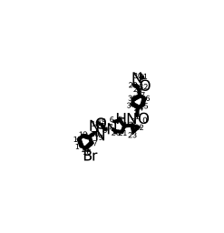 O=C(NC1(C2CCN(c3nc(-c4cccc(Br)c4)no3)CC2)CC1)c1ccc(-c2cnco2)cc1